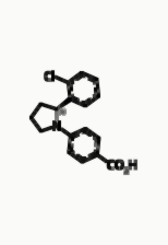 O=C(O)c1ccc(N2CCC[C@H]2c2ccccc2Cl)cc1